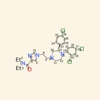 CCN(CC)C(=O)c1cn(CCN2CCN(c3ccc(Cl)cc3Cl)[C@H](c3ccc(Cl)cc3)C2)cn1